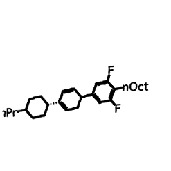 CCCCCCCCc1c(F)cc(C2C=CC([C@H]3CC[C@H](CCC)CC3)=CC2)cc1F